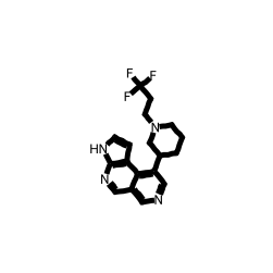 FC(F)(F)CCN1CCCC(c2cncc3cnc4[nH]ccc4c23)C1